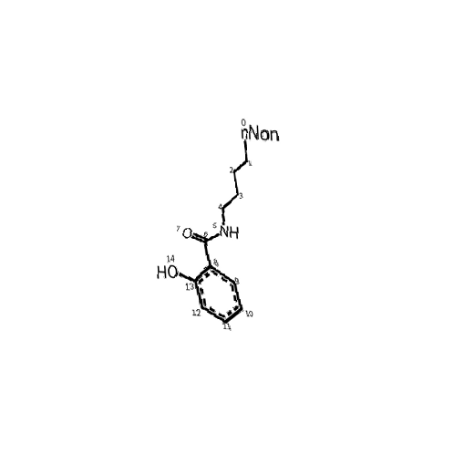 CCCCCCCCCCCCCNC(=O)c1ccccc1O